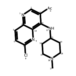 CC(=O)c1cnc2ccc(Cl)nc2c1NC1CCN(C)CC1